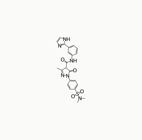 CC1=NN(c2ccc(S(=O)(=O)N(C)C)cc2)C(=O)C1C(=O)Nc1cccc(-c2ncc[nH]2)c1